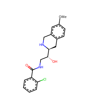 COc1ccc2c(c1)CN[C@H]([C@H](O)CNC(=O)c1ccccc1Cl)C2